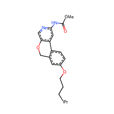 COC(=O)Nc1cc2c(cn1)OCc1cc(OCCCC(C)C)ccc1-2